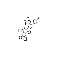 COc1cc2[nH]c(C)c(-c3ccc(-c4ccc(F)cc4)c(OC(F)(F)F)c3)c(=O)c2cc1Cl